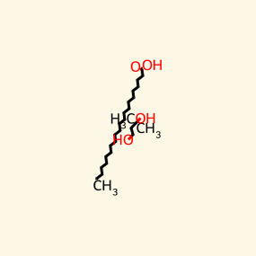 CC(C)(O)CCO.CCCCCCCCCCCCCCCCCCCCCC(=O)O